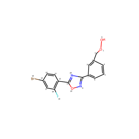 OOCc1cccc(-c2noc(-c3ccc(Br)cc3F)n2)c1